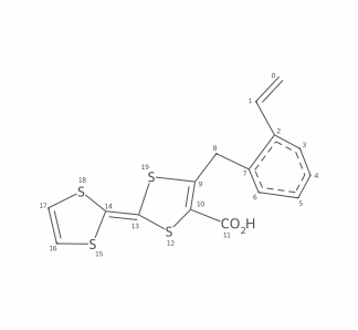 C=Cc1ccccc1CC1=C(C(=O)O)SC(=C2SC=CS2)S1